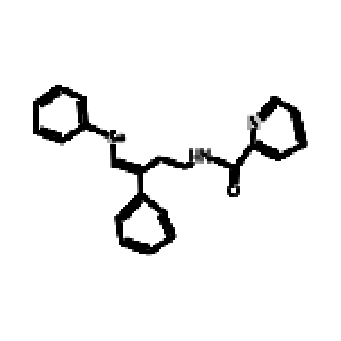 O=C(NCC/C(=C\[Se]c1ccccc1)c1ccccc1)c1ccccn1